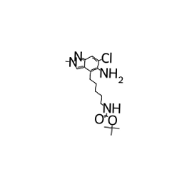 Cn1cc2c(CCCCCNC(=O)OC(C)(C)C)c(N)c(Cl)cc2n1